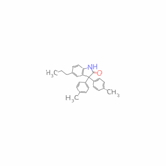 CCCc1ccc2c(c1)C(c1ccc(C)cc1)(c1ccc(C)cc1)C(=O)N2